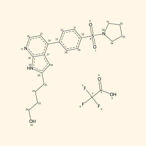 O=C(O)C(F)(F)F.O=S(=O)(c1ccc(-c2ccnc3[nH]c(CCCCO)cc23)cc1)N1CCCC1